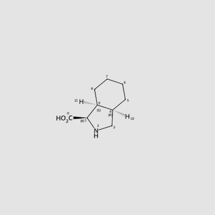 O=C(O)[C@@H]1NC[C@@H]2CCCC[C@@H]21